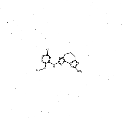 COc1ccc(Cl)cc1Nc1nc2c(s1)-c1nc(N)sc1CCC2